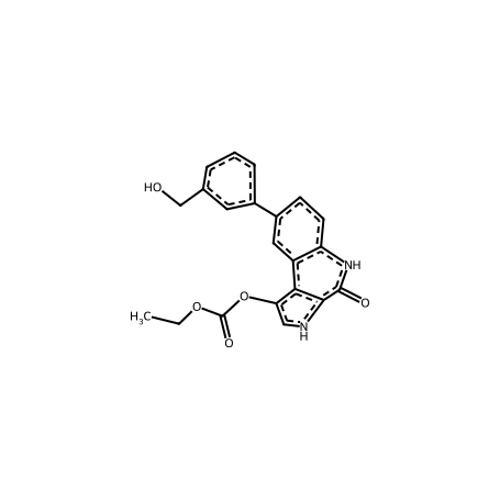 CCOC(=O)Oc1c[nH]c2c(=O)[nH]c3ccc(-c4cccc(CO)c4)cc3c12